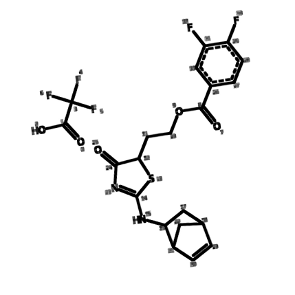 O=C(O)C(F)(F)F.O=C(OCCC1SC(NC2CC3C=CC2C3)=NC1=O)c1ccc(F)c(F)c1